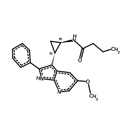 CCCC(=O)N[C@@H]1C[C@H]1c1c(-c2ccccc2)[nH]c2ncc(OC)cc12